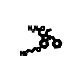 CCc1c(CC(N)=O)c2cc(OCCCS)ccc2n1Cc1ccccc1